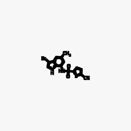 Cc1cc(NS(=O)(=O)c2ccc(C#N)s2)c2[nH]cc(Br)c2c1